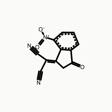 N#CC(C#N)=C1CC(=O)c2cccc([N+](=O)[O-])c21